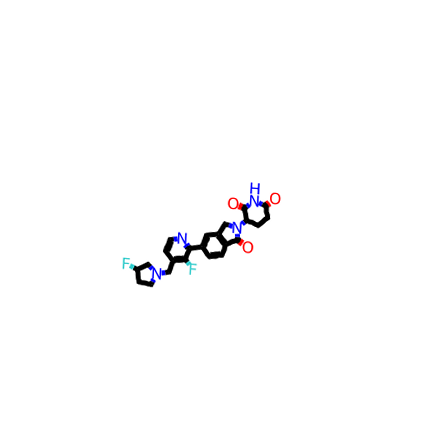 O=C1CCC(N2Cc3cc(-c4nccc(CN5CCC(F)C5)c4F)ccc3C2=O)C(=O)N1